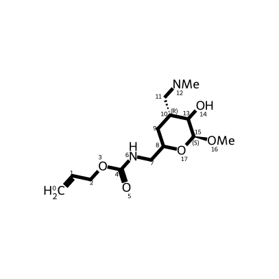 C=CCOC(=O)NCC1C[C@H](CNC)C(O)[C@@H](OC)O1